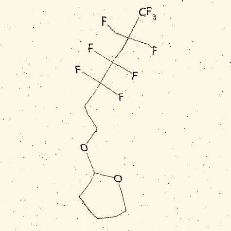 FC(F)(F)C(F)(F)C(F)(F)C(F)(F)CCOC1CCCO1